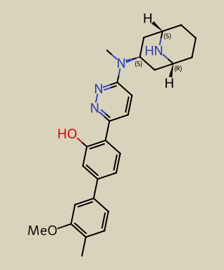 COc1cc(-c2ccc(-c3ccc(N(C)[C@@H]4C[C@H]5CCC[C@@H](C4)N5)nn3)c(O)c2)ccc1C